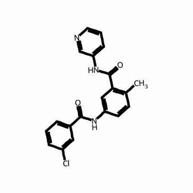 Cc1ccc(NC(=O)c2cccc(Cl)c2)cc1C(=O)Nc1cccnc1